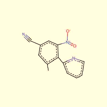 Cc1cc(C#N)cc([N+](=O)[O-])c1-c1ccccn1